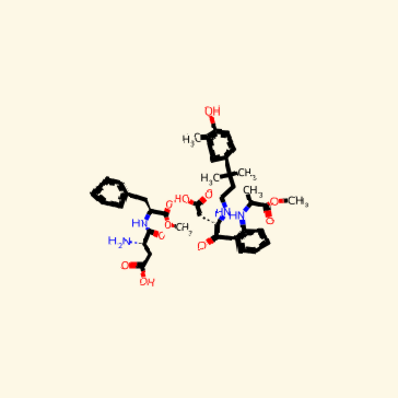 COC(=O)C(C)Nc1ccccc1C(=O)[C@H](CC(=O)O)NCCC(C)(C)c1ccc(O)c(C)c1.COC(=O)[C@H](Cc1ccccc1)NC(=O)[C@@H](N)CC(=O)O